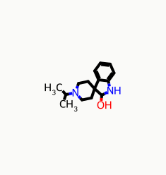 CC(C)N1CCC2(CC1)c1ccccc1NC2O